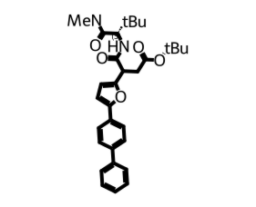 CNC(=O)[C@@H](NC(=O)C(CC(=O)OC(C)(C)C)c1ccc(-c2ccc(-c3ccccc3)cc2)o1)C(C)(C)C